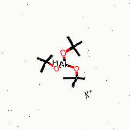 CC(C)(C)[O][AlH-]([O]C(C)(C)C)[O]C(C)(C)C.[K+]